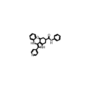 O=C1CC(C(=O)Nc2ccccc2)Cc2[nH]c(-c3ccncc3)c(Nc3ccccc3)c21